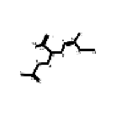 C=C(C)CCC(C/C=C(/C)CC)C(=C)C